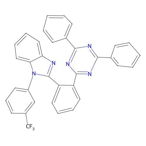 FC(F)(F)c1cccc(-n2c(-c3ccccc3-c3nc(-c4ccccc4)nc(-c4ccccc4)n3)nc3ccccc32)c1